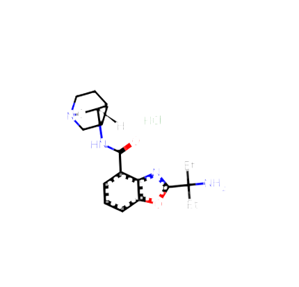 CCC(N)(CC)c1nc2c(C(=O)N[C@@H]3CN4CCC3CC4)cccc2o1.Cl